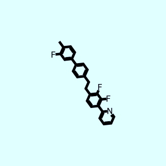 Cc1ccc(-c2ccc(CCc3ccc(-c4ccccn4)c(F)c3F)cc2)cc1F